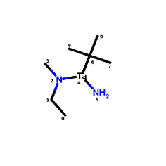 CC[N](C)[Ta]([NH2])[C](C)(C)C